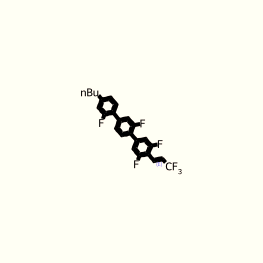 CCCCc1ccc(-c2ccc(-c3cc(F)c(/C=C/C(F)(F)F)c(F)c3)c(F)c2)c(F)c1